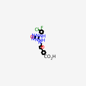 O=C(O)c1ccc(-c2ccc(C=NNc3nc4nonc4nc3Nc3ccc(F)c(Cl)c3)o2)cc1